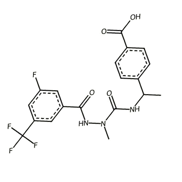 CC(NC(=O)N(C)NC(=O)c1cc(F)cc(C(F)(F)F)c1)c1ccc(C(=O)O)cc1